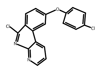 Clc1ccc(Oc2ccc3c(Cl)nc4ncccc4c3c2)cc1